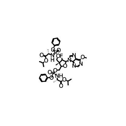 COc1ncnc2c1ncn2C1OC(COP(=O)(N[C@@H](C)C(=O)OC(C)C)Oc2ccccc2)[C@](C)(COP(=O)(N[C@@H](C)C(=O)OC(C)C)Oc2ccccc2)C1F